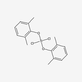 Cc1cccc(C)c1[O][Ti]([Cl])([Cl])[O]c1c(C)cccc1C